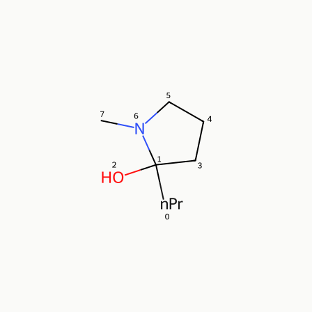 CCCC1(O)CCCN1C